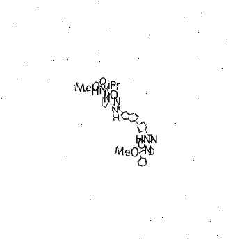 COC(=O)N[C@H](C(=O)N1CCC[C@H]1c1ncc(-c2ccc3cc(-c4ccc(-c5cnc([C@@H]6CCCN6C(=O)C(OC)c6ccccc6)[nH]5)cc4)ccc3c2)[nH]1)C(C)C